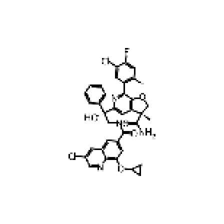 C[C@]1(C(N)=O)COc2c1cc([C@@](O)(CNC(=O)c1cc(OC3CC3)c3ncc(Cl)cc3c1)c1ccccc1)nc2-c1cc(Cl)c(F)cc1F